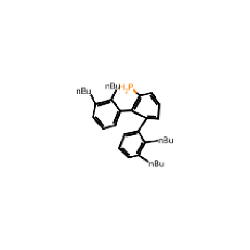 CCCCc1cccc(-c2cccc(P)c2-c2cccc(CCCC)c2CCCC)c1CCCC